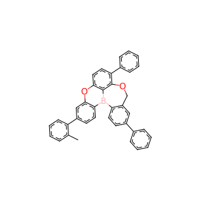 Cc1ccccc1-c1ccc2c(c1)Oc1ccc(-c3ccccc3)c3c1B2c1ccc(-c2ccccc2)cc1CO3